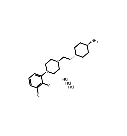 Cl.Cl.Cl.N[C@H]1CC[C@H](CCN2CCN(c3cccc(Cl)c3Cl)CC2)CC1